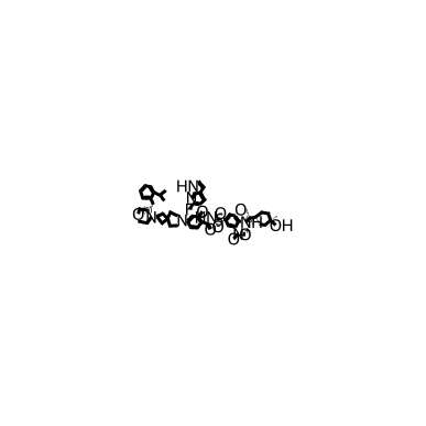 CC(C)c1ccccc1C[C@H]1COCCN1C1CC2(CCN(c3ccc(C(=O)NS(=O)(=O)c4cc5c(c([N+](=O)[O-])c4)N[C@@H]([C@H]4CC[C@](C)(O)CC4)CO5)c(Oc4cc5cc[nH]c5nc4F)c3)CC2)C1